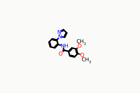 COc1ccc(C(=O)Nc2ccccc2-n2cccn2)cc1OC